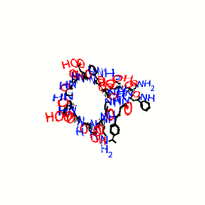 CC(C)c1ccc(CCCC(=O)NC(Cc2c[nH]c3ccccc23)C(=O)N[C@H](CC(N)=O)C(=O)N[C@@H](CC(=O)O)C(=O)N[C@@H]2C(=O)NCC(=O)N[C@@H](CCCN)C(=O)N[C@@H](CC(=O)O)C(=O)N[C@H](C)C(=O)N[C@@H](CC(=O)O)C(=O)NCC(=O)N[C@H](CO)C(=O)N[C@@H]([C@H](C)CC(=O)O)C(=O)N[C@@H](C(=O)c3ccccc3N)C(=O)O[C@@H]2C)cc1